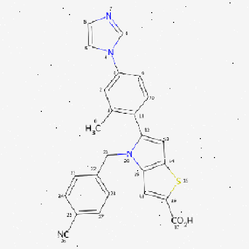 Cc1cc(-n2ccnc2)ccc1-c1cc2sc(C(=O)O)cc2n1Cc1ccc(C#N)cc1